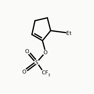 CCC1CCC=C1OS(=O)(=O)C(F)(F)F